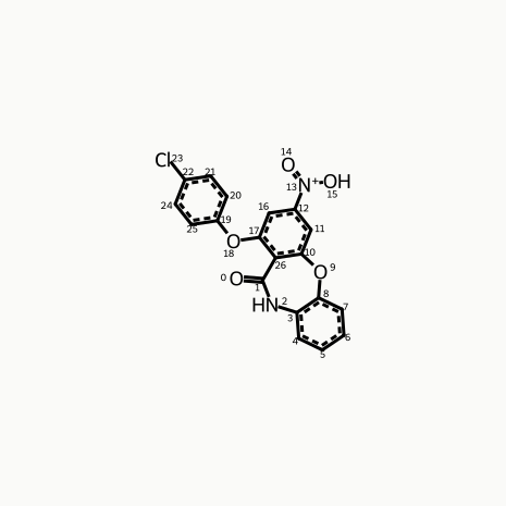 O=C1Nc2ccccc2Oc2cc([N+](=O)O)cc(Oc3ccc(Cl)cc3)c21